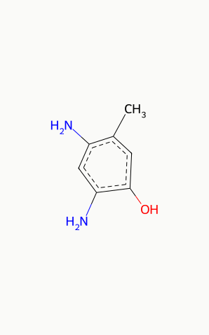 Cc1cc(O)c(N)cc1N